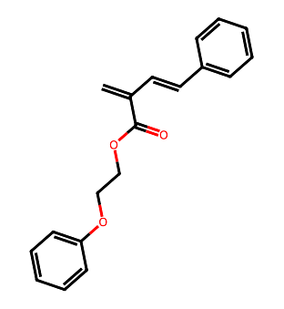 C=C(C=Cc1ccccc1)C(=O)OCCOc1ccccc1